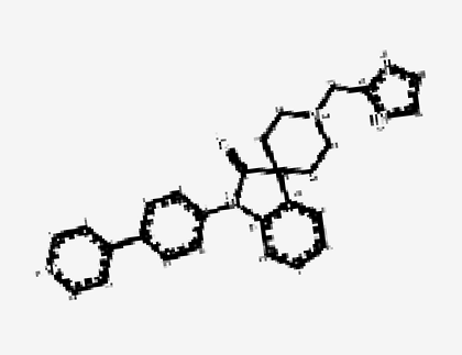 O=C1N(c2ccc(-c3ccncc3)cc2)c2ccccc2C12CCN(Cc1ncc[nH]1)CC2